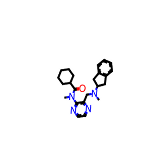 CN(C(=O)C1CCCCC1)c1nccnc1CN(C)C1Cc2ccccc2C1